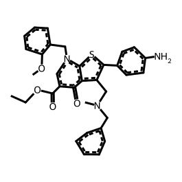 CCOC(=O)c1cn(Cc2ccccc2OC)c2sc(-c3ccc(N)cc3)c(CN(C)Cc3ccccc3)c2c1=O